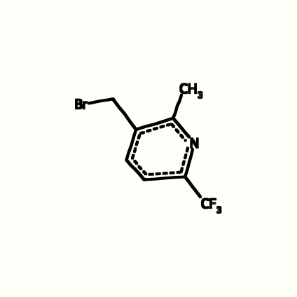 Cc1nc(C(F)(F)F)ccc1CBr